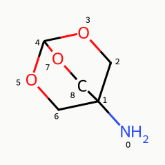 NC12COC(OC1)OC2